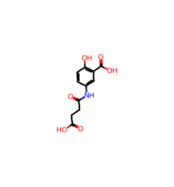 O=C(O)CCC(=O)Nc1ccc(O)c(C(=O)O)c1